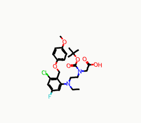 CCN(CCN(CC(=O)O)C(=O)OC(C)(C)C)c1cc(F)cc(Cl)c1COc1ccc(OC)cc1